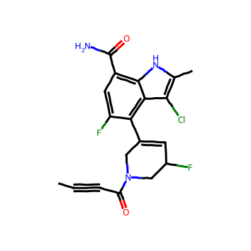 CC#CC(=O)N1CC(c2c(F)cc(C(N)=O)c3[nH]c(C)c(Cl)c23)=CC(F)C1